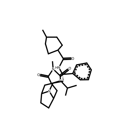 CC1CCC(C(=O)N[C@@H](CCN2C3CCC2CC2(C3)C(=O)N(C)C(=O)N2C(C)C)c2ccccc2)CC1